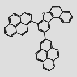 c1ccc2c(c1)ccc1oc3c(-c4ccc5ccc6cccc7ccc4c5c67)cc(-c4cc5ccc6cccc7ccc(c4)c5c67)cc3c12